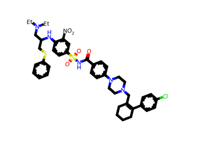 CCN(CC)CC(CSc1ccccc1)Nc1ccc(S(=O)(=O)NC(=O)c2ccc(N3CCN(CC4=C(c5ccc(Cl)cc5)CCCC4)CC3)cc2)cc1[N+](=O)[O-]